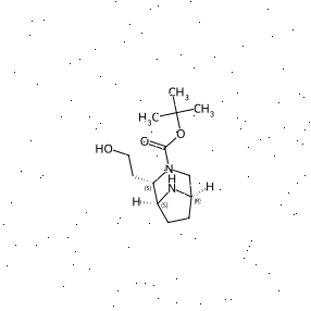 CC(C)(C)OC(=O)N1C[C@H]2CC[C@H](N2)[C@@H]1CCO